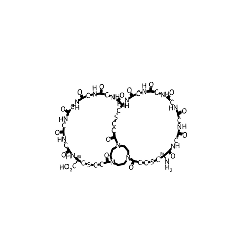 N[C@H]1CSCCC(=O)N2CCN3CCN(CC2)C(=O)CCSC[C@H](NC(=O)CNC(=O)CNC(=O)CNC(=O)CNC(=O)CNC1=O)C(=O)NCC(=O)NCC(=O)NCC(=O)NCC(=O)NCC(=O)N[C@H](C(=O)O)CSCCC3=O